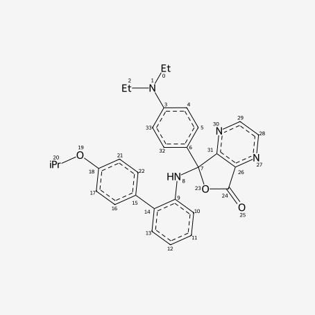 CCN(CC)c1ccc(C2(Nc3ccccc3-c3ccc(OC(C)C)cc3)OC(=O)c3nccnc32)cc1